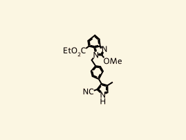 CCOC(=O)c1cccc2nc(OC)n(Cc3ccc(-c4c(C)c[nH]c4C#N)cc3)c12